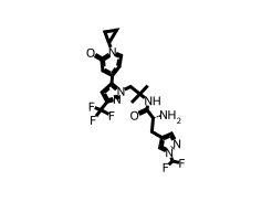 CC(C)(Cn1nc(C(F)(F)F)cc1-c1ccn(C2CC2)c(=O)c1)NC(=O)[C@H](N)Cc1cnn(C(F)F)c1